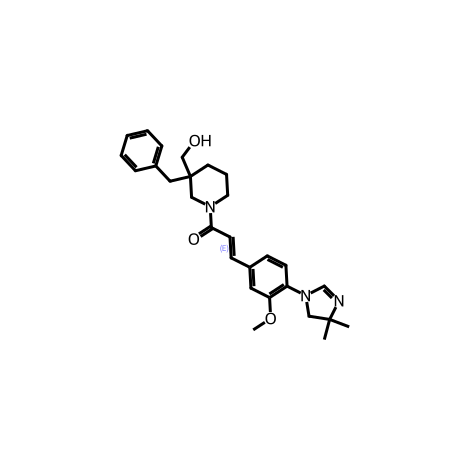 COc1cc(/C=C/C(=O)N2CCCC(CO)(Cc3ccccc3)C2)ccc1N1C=NC(C)(C)C1